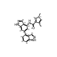 Cc1cn(C)nc1C(=O)Nc1cc(-c2cccc3[nH]ncc23)cc2[nH]ncc12